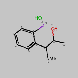 CNC(c1ccccc1I)C(C)O.Cl